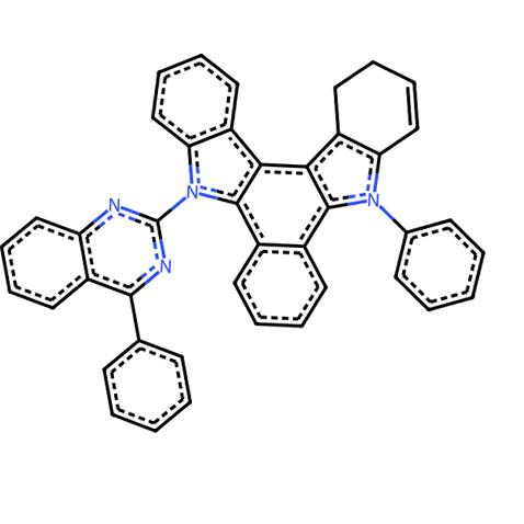 C1=Cc2c(c3c4c5ccccc5n(-c5nc(-c6ccccc6)c6ccccc6n5)c4c4ccccc4c3n2-c2ccccc2)CC1